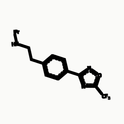 CC(C)NCCc1ccc(-c2noc(C(F)(F)F)n2)cc1